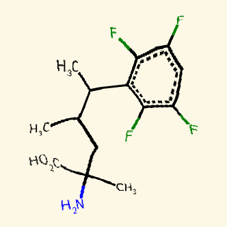 CC(CC(C)(N)C(=O)O)C(C)c1c(F)c(F)cc(F)c1F